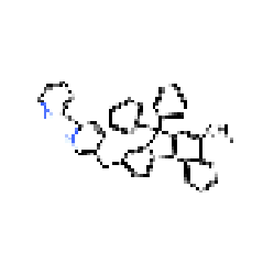 Cc1cc2c(c3ccccc13)-c1ccc(Cc3ccc(-c4ccccn4)nc3)cc1C2(c1ccccc1)c1ccccc1